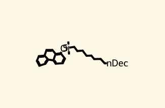 CCCCCCCCCCCCCCCCCC[Si](C)(C)Oc1cccc2c1ccc1ccccc12